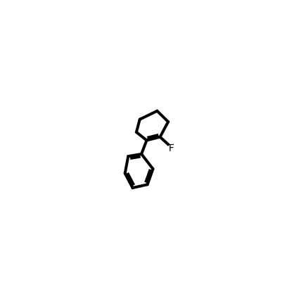 FC1=C(c2ccccc2)CCCC1